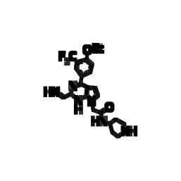 CCOc1ccc(C2=NC(C=N)Nc3c2ccn3CC(=O)NC2CCNCC2)cc1C(F)(F)F